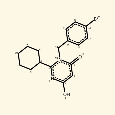 O=c1cc(O)nc(C2CCCCC2)n1Cc1ccc(Br)cc1